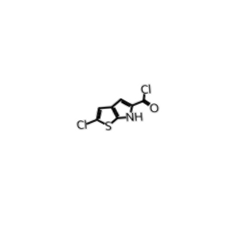 O=C(Cl)c1cc2cc(Cl)sc2[nH]1